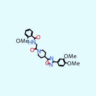 COc1ccc(-c2noc(C3CCN(C(=O)CNC(=O)c4ccccc4OC)CC3)n2)cc1OC